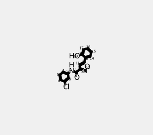 O=C(Nc1cccc(Cl)c1)c1cc(-c2ccccc2O)on1